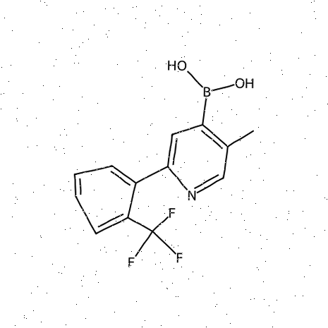 Cc1cnc(-c2ccccc2C(F)(F)F)cc1B(O)O